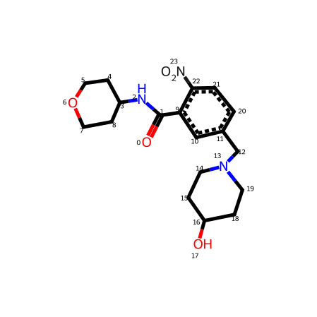 O=C(NC1CCOCC1)c1cc(CN2CCC(O)CC2)ccc1[N+](=O)[O-]